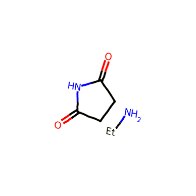 CCN.O=C1CCC(=O)N1